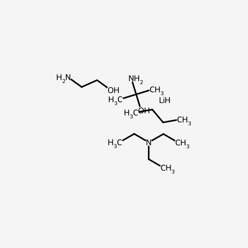 CC(C)(N)O.CCCC.CCN(CC)CC.NCCO.[LiH]